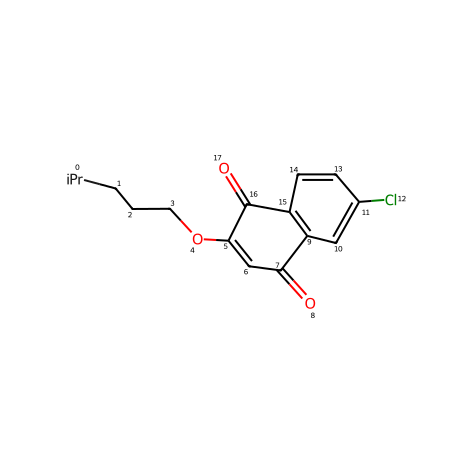 CC(C)CCCOC1=CC(=O)c2cc(Cl)ccc2C1=O